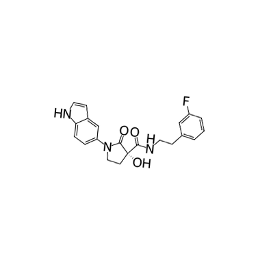 O=C(NCCc1cccc(F)c1)[C@@]1(O)CCN(c2ccc3[nH]ccc3c2)C1=O